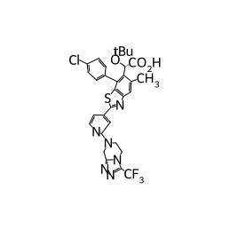 Cc1cc2nc(-c3ccnc(N4CCn5c(nnc5C(F)(F)F)C4)c3)sc2c(-c2ccc(Cl)cc2)c1[C@H](OC(C)(C)C)C(=O)O